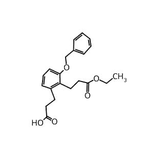 CCOC(=O)CCc1c(CCC(=O)O)cccc1OCc1ccccc1